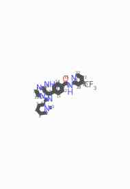 CN1CCCC[C@H]1c1nc(-c2ccc(C(=O)Nc3cc(C(F)(F)F)ccn3)cc2)c2c(N)nccn12